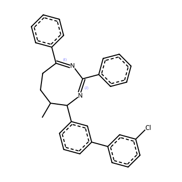 CC1CC/C(c2ccccc2)=N\C(c2ccccc2)=N/C1c1cccc(-c2cccc(Cl)c2)c1